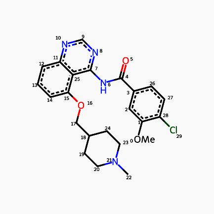 COc1cc(C(=O)Nc2ncnc3cccc(OCC4CCN(C)CC4)c23)ccc1Cl